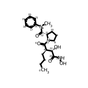 CCCC[C@@H](C(=O)N1CCC[C@H]1C(=O)N(C)c1ccccc1)[C@H](O)C(=O)NO